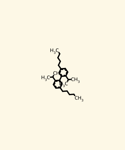 CCCCCc1ccc(C(C)C)c(-c2cc(CCCCC)ccc2C(C)C)c1